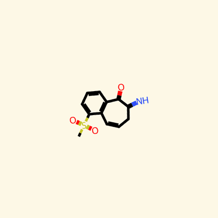 CS(=O)(=O)c1cccc2c1C=CCC(=N)C2=O